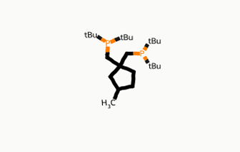 CC1CCC(CP(C(C)(C)C)C(C)(C)C)(CP(C(C)(C)C)C(C)(C)C)C1